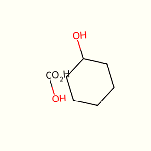 O=C(O)O.OC1CCCCC1